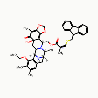 COCOc1c(OC)c(C)cc2c1[C@H]1C3CC4(O)C(=O)C(C)=C5OCOC5=C4[C@H](COC(=O)/C(C)=C\SCC4c5ccccc5-c5ccccc54)N3[C@@H](C#N)[C@@H](C2)N1C